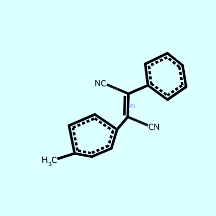 Cc1ccc(/C(C#N)=C(\C#N)c2ccccc2)cc1